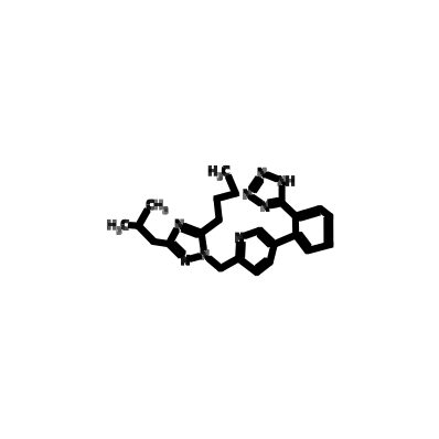 CCCCc1nc(CC(C)C)nn1Cc1ccc(-c2ccccc2-c2nnn[nH]2)cn1